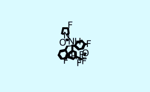 COc1cc([C@@](Cc2ccccc2)(NC(=O)N2CCC(F)C2)c2cc(F)cc(C(F)(F)F)c2)ccc1F